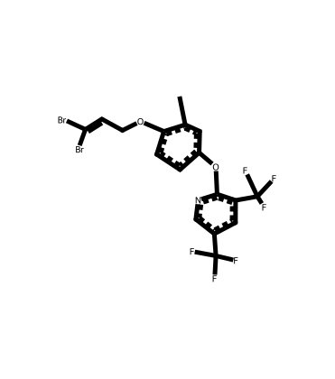 Cc1cc(Oc2ncc(C(F)(F)F)cc2C(F)(F)F)ccc1OCC=C(Br)Br